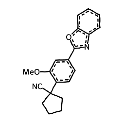 COc1cc(-c2nc3ccccc3o2)ccc1C1(C#N)CCCC1